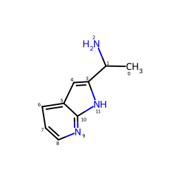 CC(N)c1cc2cccnc2[nH]1